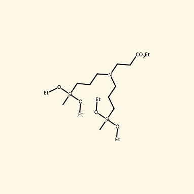 CCOC(=O)CCN(CCC[Si](C)(OCC)OCC)CCC[Si](C)(OCC)OCC